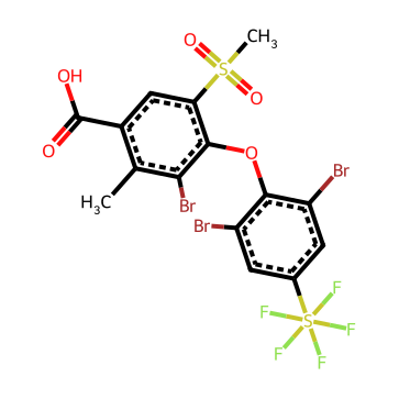 Cc1c(C(=O)O)cc(S(C)(=O)=O)c(Oc2c(Br)cc(S(F)(F)(F)(F)F)cc2Br)c1Br